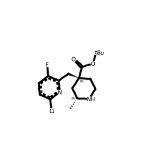 C[C@@H]1C[C@](Cc2nc(Cl)ccc2F)(C(=O)OC(C)(C)C)CCN1